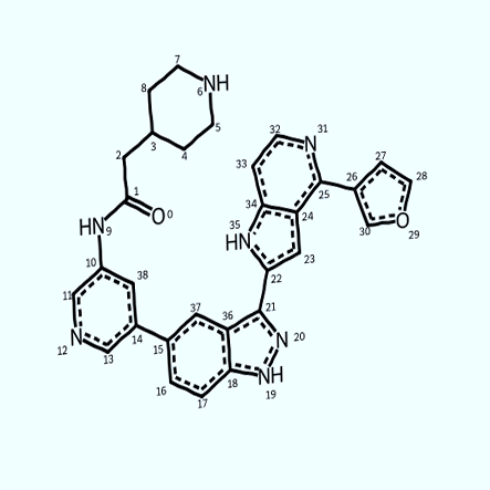 O=C(CC1CCNCC1)Nc1cncc(-c2ccc3[nH]nc(-c4cc5c(-c6ccoc6)nccc5[nH]4)c3c2)c1